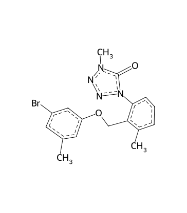 Cc1cc(Br)cc(OCc2c(C)cccc2-n2nnn(C)c2=O)c1